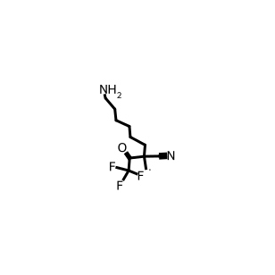 [CH2]C(C#N)(CCCCCCN)C(=O)C(F)(F)F